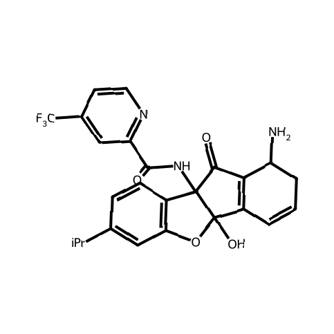 CC(C)c1ccc2c(c1)OC1(O)C3=C(C(=O)C21NC(=O)c1cc(C(F)(F)F)ccn1)C(N)CC=C3